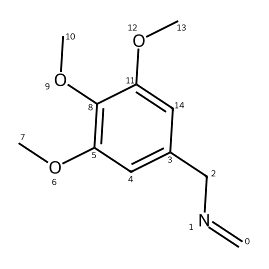 C=NCc1cc(OC)c(OC)c(OC)c1